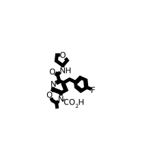 CC1COc2nc(C(=O)NC3CCOC3)c(Cc3ccc(F)cc3)cc2N1C(=O)O